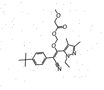 CCn1nc(C)c(C)c1/C(OCOC(=O)COC)=C(\C#N)c1ccc(C(C)(C)C)cc1